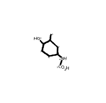 CC1CC(NC(=O)O)CCC1O